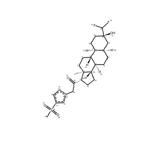 C[C@]12CC[C@H]3[C@@H](CC[C@@H]4C[C@@](O)(C(F)F)CC[C@@H]43)[C@@H]1CC[C@@H]2C(=O)Cn1cc(S(C)(=O)=O)cn1